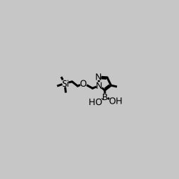 Cc1cnn(COCC[Si](C)(C)C)c1B(O)O